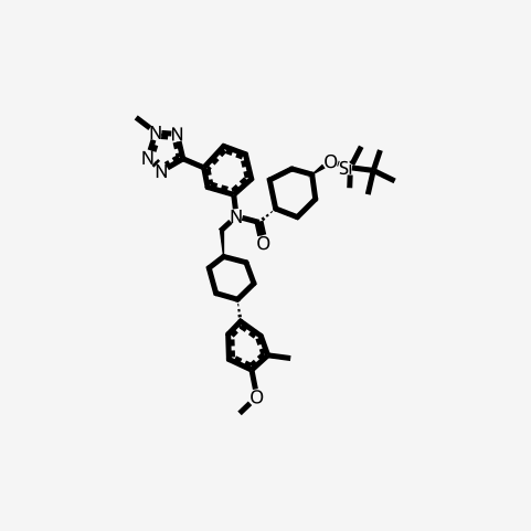 COc1ccc([C@H]2CC[C@H](CN(c3cccc(-c4nnn(C)n4)c3)C(=O)[C@H]3CC[C@H](O[Si](C)(C)C(C)(C)C)CC3)CC2)cc1C